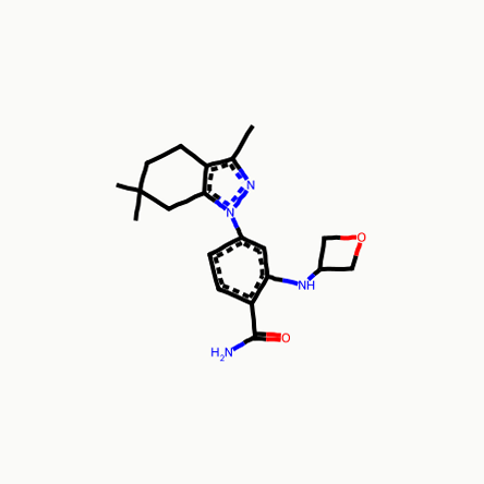 Cc1nn(-c2ccc(C(N)=O)c(NC3COC3)c2)c2c1CCC(C)(C)C2